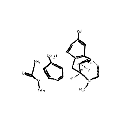 CN1CC[C@@]23CCCC[C@@H]2[C@@H]1Cc1ccc(O)cc13.NOC(N)=O.O=C(O)c1ccccc1